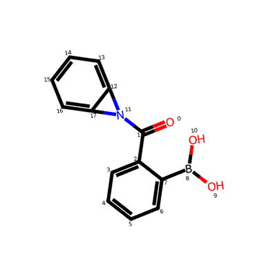 O=C(c1ccccc1B(O)O)N1c2ccccc21